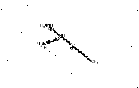 CCCCCCCCCCCCCC(=O)NCCCCCCC(NCCCCNCCNC)NCCCCNCCNC